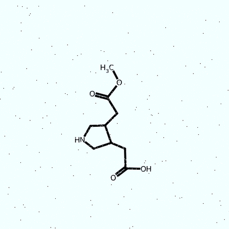 COC(=O)CC1CNCC1CC(=O)O